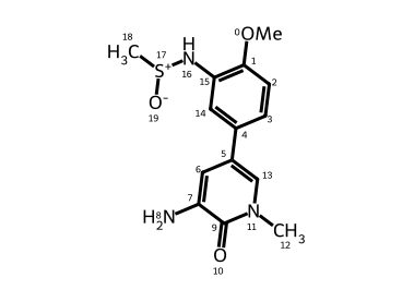 COc1ccc(-c2cc(N)c(=O)n(C)c2)cc1N[S+](C)[O-]